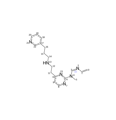 C=C/N=C\N(C)c1nccc(CCNCCCc2cccnc2)n1